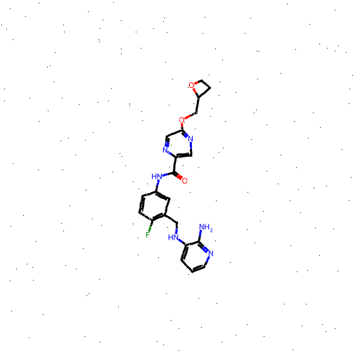 Nc1ncccc1NCc1cc(NC(=O)c2cnc(OCC3CCO3)cn2)ccc1F